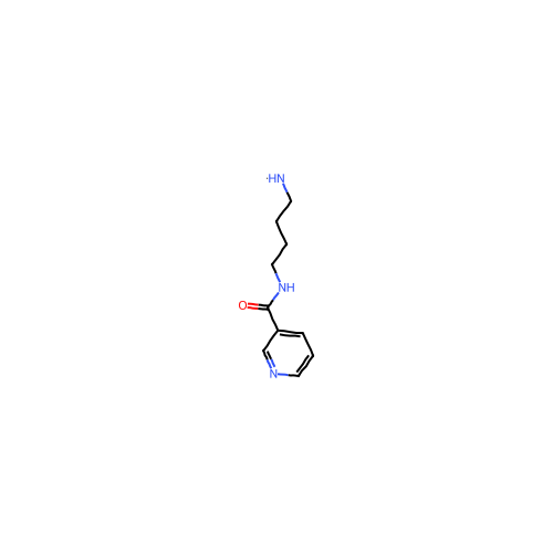 [NH]CCCCNC(=O)c1cccnc1